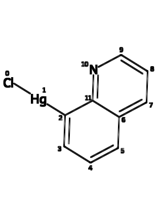 [Cl][Hg][c]1cccc2cccnc12